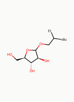 CCCCC(CC)COC1O[C@H](CO)[C@@H](O)[C@@H]1O